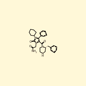 NC(=O)Cn1c(C(=O)N2CCNC[C@H]2Cc2ccccc2)c(-c2ccccc2)n(C2CCCCC2)c1=O